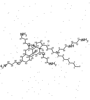 CCCCCCCCN(CCCNCCCN)CCC[C@@H](C)C1CC[C@H]2C3[C@H](OCCCN)CC4C[C@H](OCCCN)CCC4(C)[C@H]3C[C@H](OCCCN)C12C